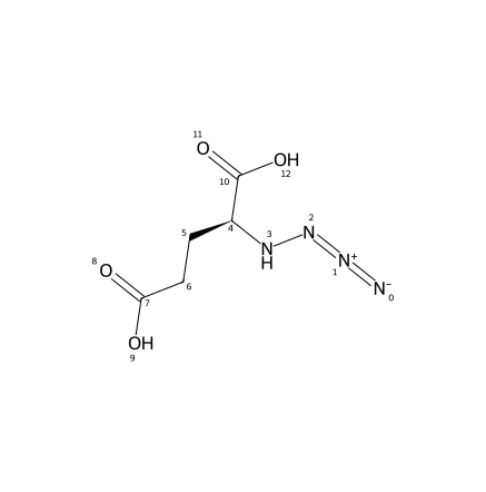 [N-]=[N+]=NN[C@@H](CCC(=O)O)C(=O)O